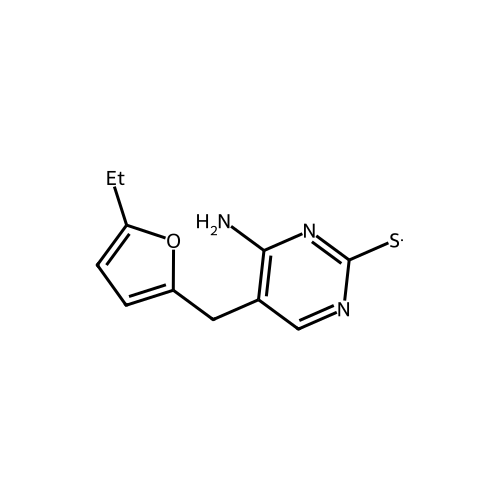 CCc1ccc(Cc2cnc([S])nc2N)o1